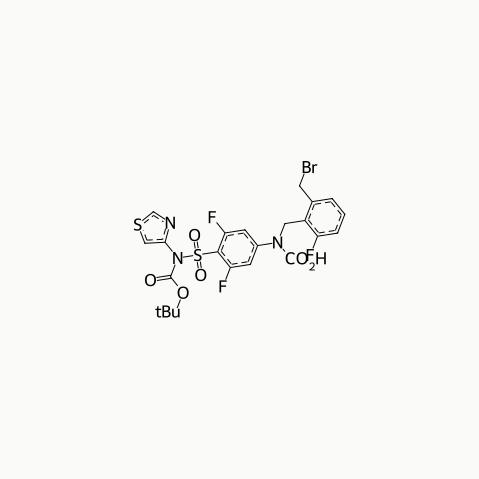 CC(C)(C)OC(=O)N(c1cscn1)S(=O)(=O)c1c(F)cc(N(Cc2c(F)cccc2CBr)C(=O)O)cc1F